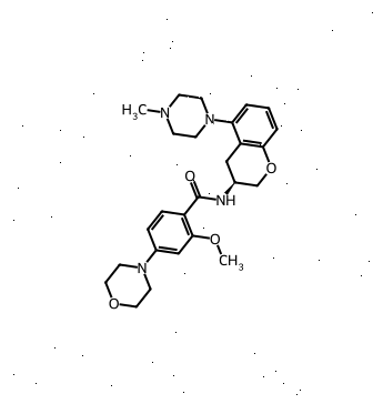 COc1cc(N2CCOCC2)ccc1C(=O)N[C@@H]1COc2cccc(N3CCN(C)CC3)c2C1